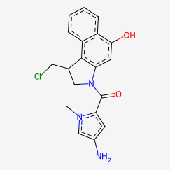 Cn1cc(N)cc1C(=O)N1CC(CCl)c2c1cc(O)c1ccccc21